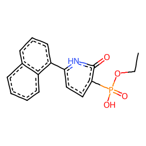 CCOP(=O)(O)c1ccc(-c2cccc3ccccc23)[nH]c1=O